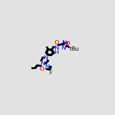 C/C=C/C(=O)N1CCN(c2ccc(CNC(=O)c3noc(C(C)(C)C)n3)c(C)c2)CC1N1CC(F)C1